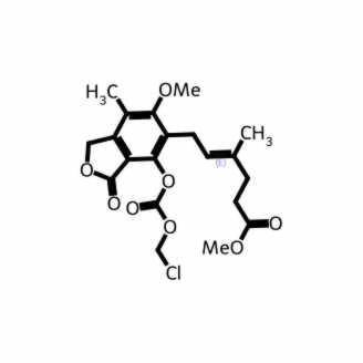 COC(=O)CC/C(C)=C/Cc1c(OC)c(C)c2c(c1OC(=O)OCCl)C(=O)OC2